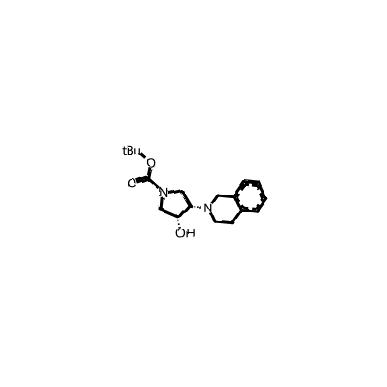 CC(C)(C)OC(=O)N1C[C@@H](O)[C@@H](N2CCc3ccccc3C2)C1